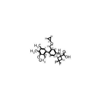 COc1c(C)c(C)cc(-c2ccc(NC3(C(=O)O)CC(F)(F)C3)cc2COC2CC2)c1F